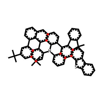 CC(C)(C)c1cc(-c2cccc3cccc(-c4ccccc4N(c4cccc(-c5cccc6c5sc5ccccc56)c4)c4ccccc4-c4cccc5c4-c4ccccc4C5(C)C)c23)cc(C(C)(C)C)c1